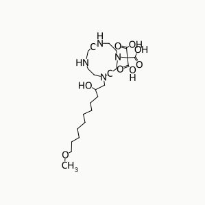 COCCCCCCCCCC(O)CN1CCNCCNCCN(C(C(=O)O)(C(=O)O)C(=O)O)CC1